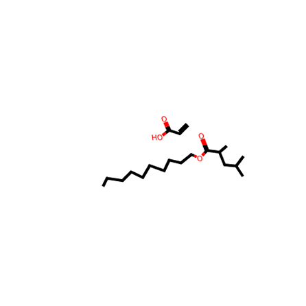 C=CC(=O)O.CCCCCCCCCCOC(=O)C(C)CC(C)C